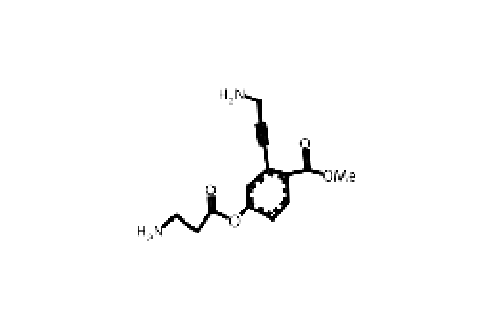 COC(=O)c1ccc(OC(=O)CCN)cc1C#CCN